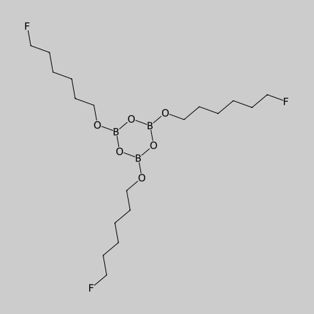 FCCCCCCOB1OB(OCCCCCCF)OB(OCCCCCCF)O1